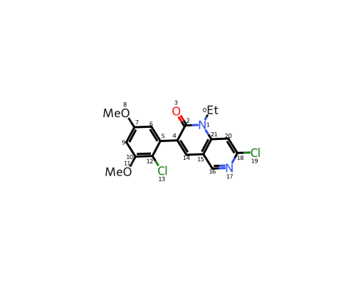 CCn1c(=O)c(-c2cc(OC)cc(OC)c2Cl)cc2cnc(Cl)cc21